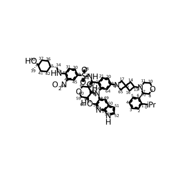 CC(C)c1ccccc1[C@@H]1COCCN1C1CC2(C1)CN(c1ccc(C(=O)NS(=O)(=O)c3ccc(NC[C@H]4CC[C@](C)(O)CC4)c([N+](=O)[O-])c3)c(N3c4cc5cc[nH]c5nc4O[C@H]4COCC[C@@H]43)c1)C2